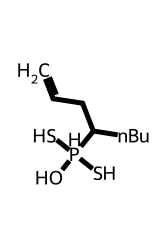 C=CCC(CCCC)[PH](O)(S)S